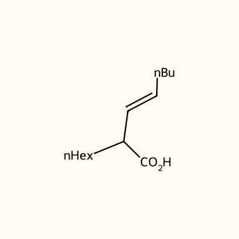 CCCC/C=C/C(CCCCCC)C(=O)O